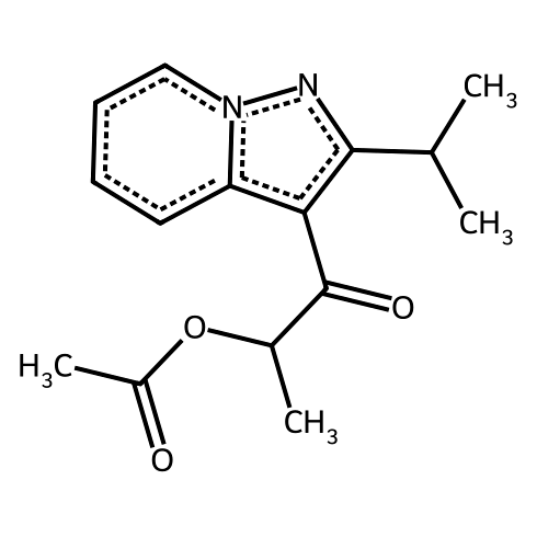 CC(=O)OC(C)C(=O)c1c(C(C)C)nn2ccccc12